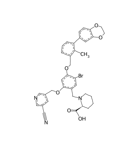 Cc1c(COc2cc(OCc3cncc(C#N)c3)c(CN3CCCC[C@H]3C(=O)O)cc2Br)cccc1-c1ccc2c(c1)OCCO2